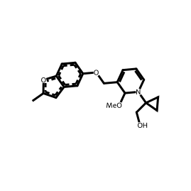 COC1C(COc2ccc3oc(C)cc3c2)=CC=CN1C1(CO)CC1